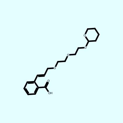 O=C(O)c1ccccc1C=CCOCCOCCOC1CCCCO1